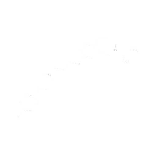 CC(C)N1CCCc2ccc(OCCCN3CCC(c4ccc(F)cc4)CC3)cc2C1